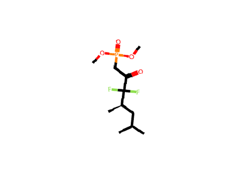 COP(=O)(CC(=O)C(F)(F)[C@H](C)CC(C)C)OC